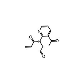 C=CC(=O)N(C[C]=O)c1ncccc1C(C)=O